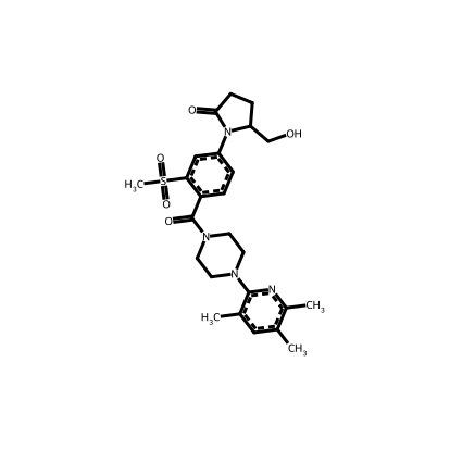 Cc1cc(C)c(N2CCN(C(=O)c3ccc(N4C(=O)CCC4CO)cc3S(C)(=O)=O)CC2)nc1C